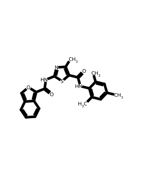 Cc1cc(C)c(NC(=O)c2sc(NC(=O)c3occ4ccccc34)nc2C)c(C)c1